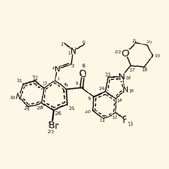 CN(C)/C=N/c1c(C(=O)c2ccc(F)c3nn(C4CCCCO4)cc23)cc(Br)c2cnccc12